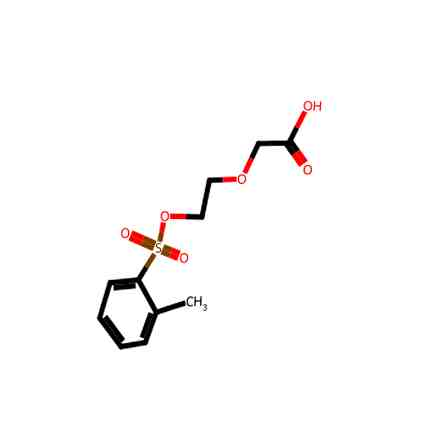 Cc1ccccc1S(=O)(=O)OCCOCC(=O)O